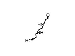 C#CCCNCCNCCC=O